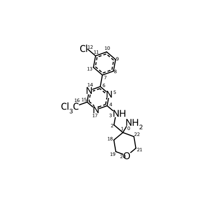 NC1(CNc2nc(-c3cccc(Cl)c3)nc(C(Cl)(Cl)Cl)n2)CCOCC1